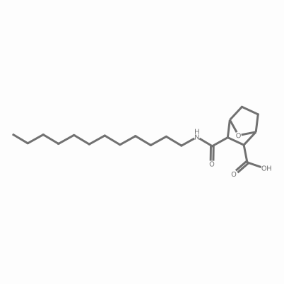 CCCCCCCCCCCCNC(=O)C1C2CCC(O2)C1C(=O)O